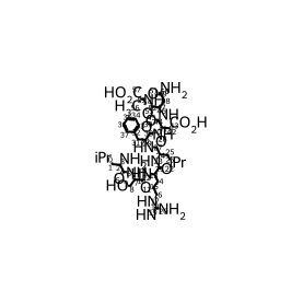 CC(C)CC(N)C(=O)NC(CO)C(=O)NC(CCCNC(=N)N)C(=O)NC(CC(C)C)C(=O)NC(Cc1ccccc1)C(=O)NC(CC(=O)O)C(=O)NC(CC(N)=O)C(=O)NC(C)C(=O)O